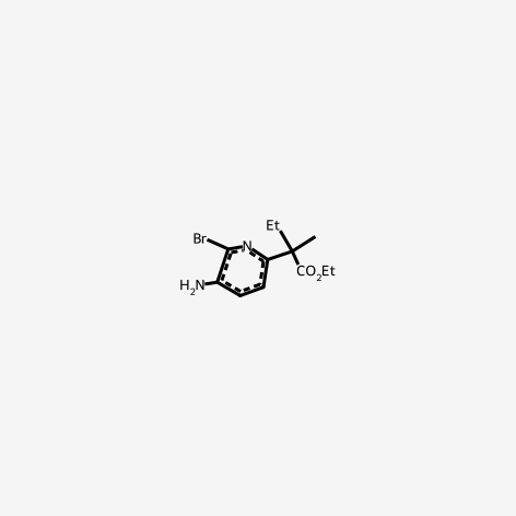 CCOC(=O)C(C)(CC)c1ccc(N)c(Br)n1